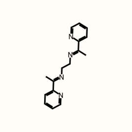 C/C(=N\CC/N=C(\C)c1ccccn1)c1ccccn1